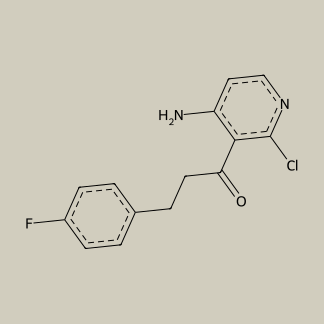 Nc1ccnc(Cl)c1C(=O)CCc1ccc(F)cc1